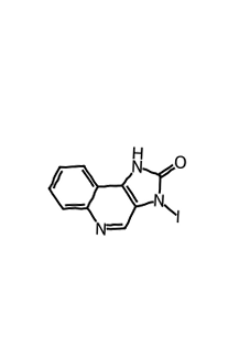 O=c1[nH]c2c3ccccc3ncc2n1I